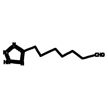 O=CCCCCCCc1nn[nH]n1